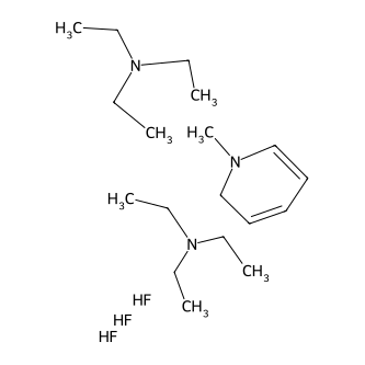 CCN(CC)CC.CCN(CC)CC.CN1C=CC=CC1.F.F.F